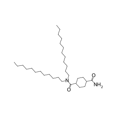 CCCCCCCCCCCCN(CCCCCCCCCCCC)C(=O)C1CCC(C(N)=O)CC1